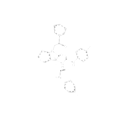 Cc1ccc(NC(=O)C[C@@]2(NC(=O)Nc3ccc(C)cc3)C(=O)N(CC(=O)c3ccccc3)c3ccccc32)cc1